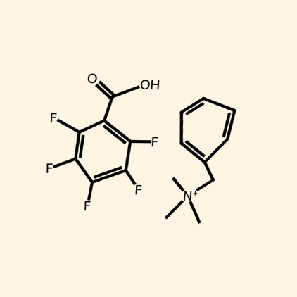 C[N+](C)(C)Cc1ccccc1.O=C(O)c1c(F)c(F)c(F)c(F)c1F